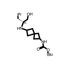 CC(C)C[C@H](CO)NC1CC2(CC(NC(=O)OC(C)(C)C)C2)C1